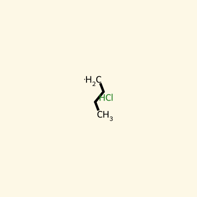 Cl.[CH2]CCC